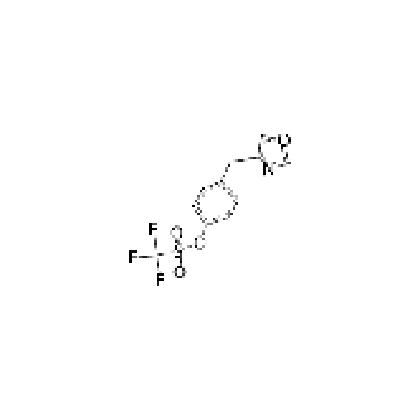 O=S(=O)(Oc1ccc(Cc2cocn2)cc1)C(F)(F)F